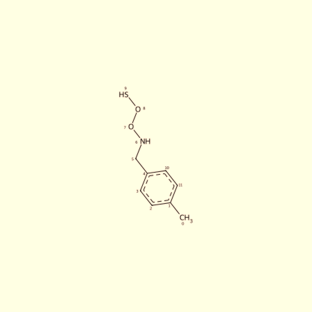 Cc1ccc(CNOOS)cc1